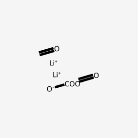 C=O.C=O.O=C([O-])[O-].[Li+].[Li+]